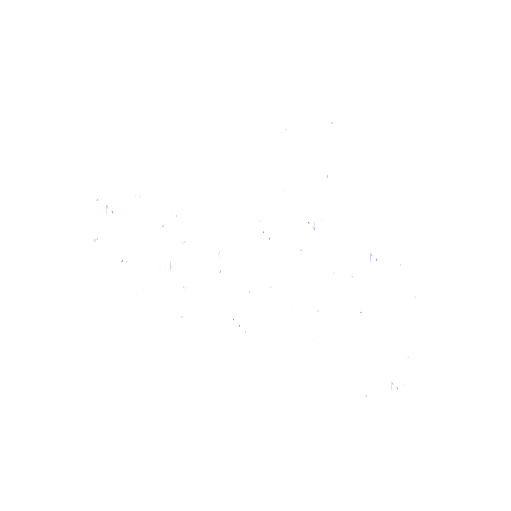 S=P(c1ccncc1)(c1cccnc1)c1ccc2c(c1)nc1c3c4ccccc4ccc3c3ccc(P(=S)(c4ccncc4)c4ccncc4)cc3n21